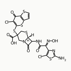 Nc1nc(C(=NO)C(=O)NC2C(=O)N3CC(Sc4sc5ccsc5c(=O)c4Cl)(C(=O)O)CS[C@H]23)c(Cl)s1